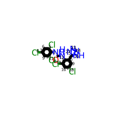 O=C(Nc1c(Cl)cc(Cl)cc1Cl)Nc1c(Cl)cc(Cl)cc1-c1nnn[nH]1